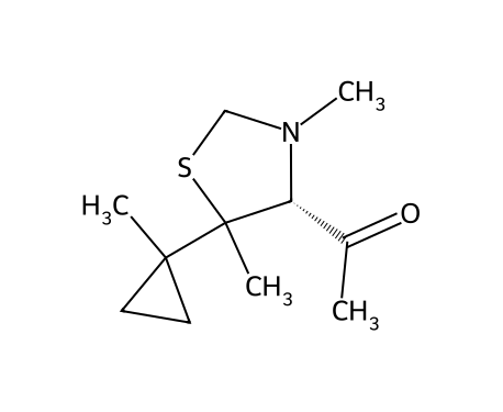 CC(=O)[C@H]1N(C)CSC1(C)C1(C)CC1